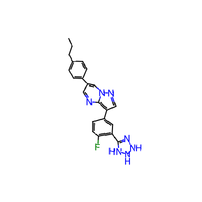 CCCc1ccc(-c2cnc3c(-c4ccc(F)c(C5=NNNN5)c4)cnn3c2)cc1